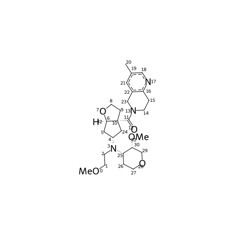 COCCN([C@@H]1C[C@H]2OCC[C@@]2(C(=O)N2CCc3ncc(C)cc3C2)C1)[C@H]1CCOC[C@H]1OC